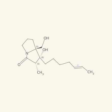 C/C=C/CCCC[C@@]1(O)[C@H](C)C(=O)N2CCC[C@@]21CO